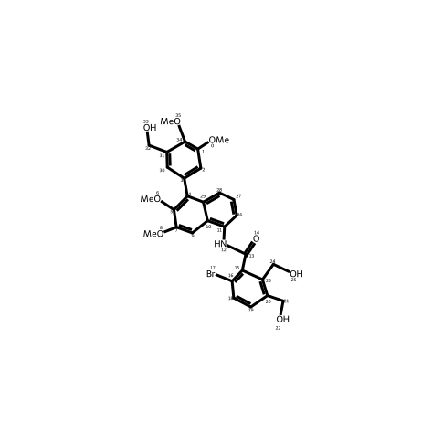 COc1cc(-c2c(OC)c(OC)cc3c(NC(=O)c4c(Br)ccc(CO)c4CO)cccc23)cc(CO)c1OC